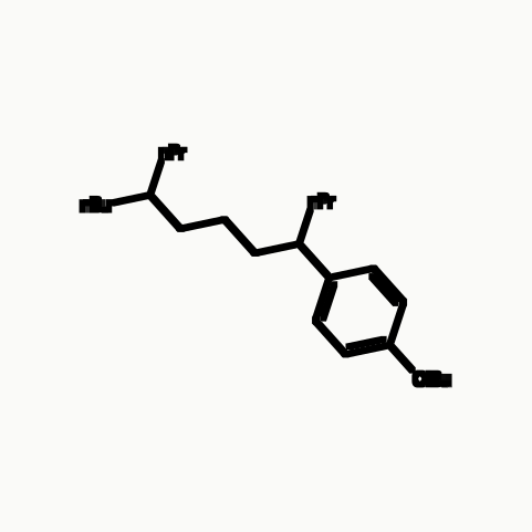 CCCCC(CCC)CCCC(CCC)c1ccc(OCC(C)C)cc1